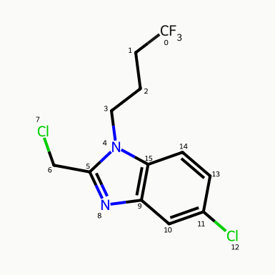 FC(F)(F)CCCn1c(CCl)nc2cc(Cl)ccc21